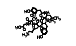 CC(C)C[C@H](NC(=O)Cc1ccc(O)c(O)c1)C(=O)N[C@@H](Cc1ccc(O)cc1)C(=O)N[C@@H](CCCCN)C(=O)N[C@@H](C)C(=O)NCC(=O)O